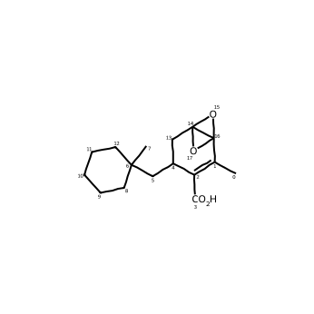 CC1=C(C(=O)O)C(CC2(C)CCCCC2)CC23OC12O3